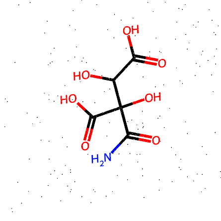 NC(=O)C(O)(C(=O)O)C(O)C(=O)O